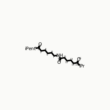 CCCC(C)C(=O)CCCCCNC(=O)CCCCC(=O)C(C)C